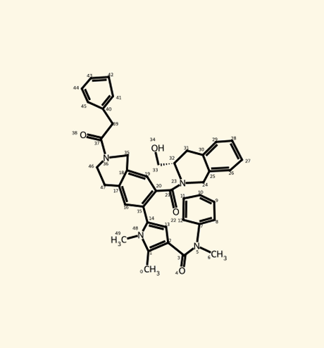 Cc1c(C(=O)N(C)c2ccccc2)cc(-c2cc3c(cc2C(=O)N2Cc4ccccc4C[C@H]2CO)CN(C(=O)Cc2ccccc2)CC3)n1C